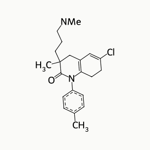 CNCCCC1(C)CC2=C(CCC(Cl)=C2)N(c2ccc(C)cc2)C1=O